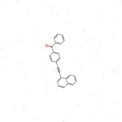 O=C(c1[c]cc(C#Cc2cccc3ccccc23)cc1)c1ccccc1